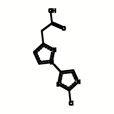 O=C(O)Cc1ccn(-c2cnc(Cl)s2)n1